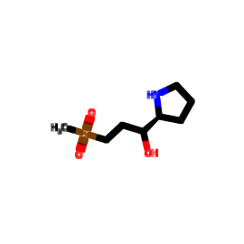 CS(=O)(=O)CCC(O)[C@@H]1CCCN1